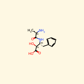 C[C@@H](N)C(=O)N[C@H](Cc1ccccc1)[C@H](O)C(=O)O